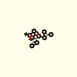 CC(C)(C)c1cc(-c2cccc3cccc(-c4ccccc4N(c4cccc(-c5cccc6c5c5ccccc5n6-c5ccccc5)c4)c4cccc5c4sc4ccccc45)c23)cc(C(C)(C)C)c1